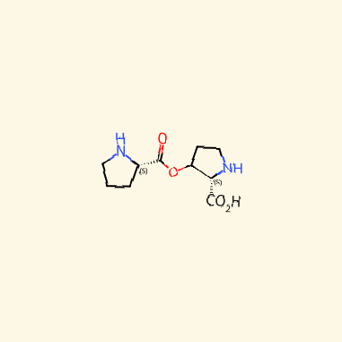 O=C(OC1CCN[C@@H]1C(=O)O)[C@@H]1CCCN1